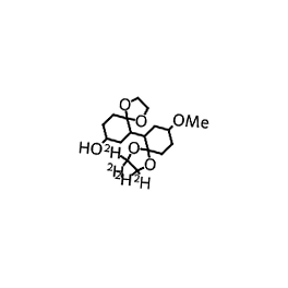 [2H]C1([2H])OC2(CCC(OC)CC2C2CC(O)CCC23OCCO3)OC1([2H])[2H]